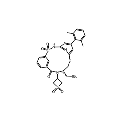 Cc1cccc(C)c1-c1cc2nc(n1)NS(=O)(=O)c1cccc(c1)C(=O)N(C1CS(=O)(=O)C1)[C@H](CC(C)(C)C)CO2